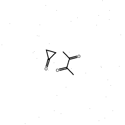 CC(=O)C(C)=O.O=C1CC1